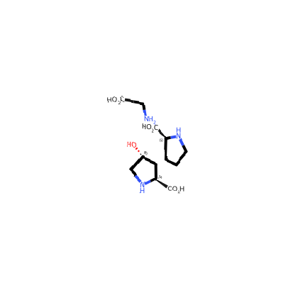 NCC(=O)O.O=C(O)[C@@H]1CCCN1.O=C(O)[C@@H]1C[C@@H](O)CN1